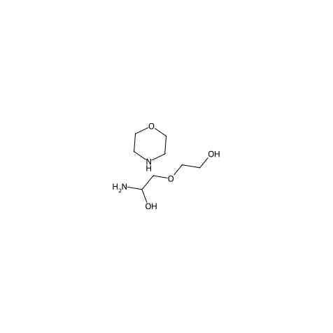 C1COCCN1.NC(O)COCCO